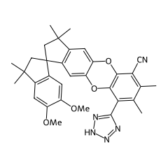 COc1cc2c(cc1OC)C1(CC2(C)C)CC(C)(C)c2cc3c(cc21)Oc1c(c(C#N)c(C)c(C)c1-c1nn[nH]n1)O3